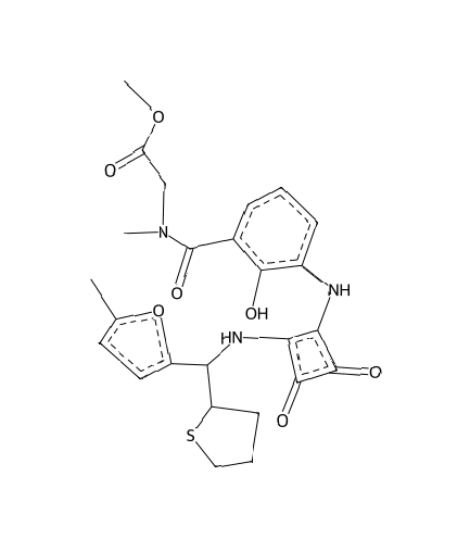 COC(=O)CN(C)C(=O)c1cccc(Nc2c(NC(c3ccc(C)o3)C3CCCS3)c(=O)c2=O)c1O